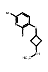 N#Cc1ccc(OC2CC(NC(=O)O)C2)c(F)n1